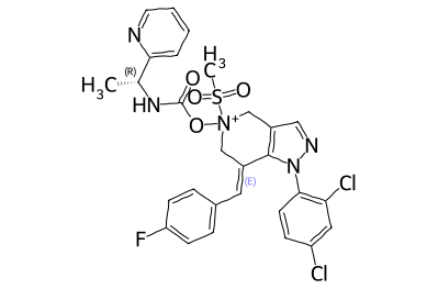 C[C@@H](NC(=O)O[N+]1(S(C)(=O)=O)C/C(=C\c2ccc(F)cc2)c2c(cnn2-c2ccc(Cl)cc2Cl)C1)c1ccccn1